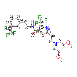 COCCN(CCOC)CCc1nc(C(F)(F)F)c(C(=O)NCCc2cccc(C(F)(F)F)c2)s1